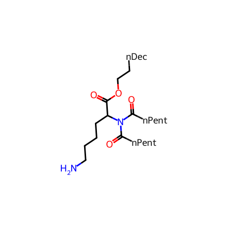 CCCCCCCCCCCCOC(=O)C(CCCCN)N(C(=O)CCCCC)C(=O)CCCCC